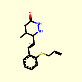 C=CCSc1ccccc1/C=C/C1NNC(=O)CC1C